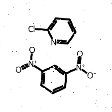 Clc1ccccn1.O=[N+]([O-])c1cccc([N+](=O)[O-])c1